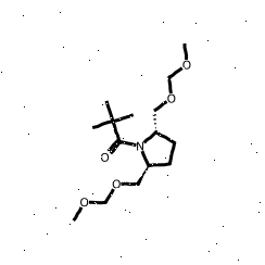 COCOC[C@@H]1CC[C@@H](COCOC)N1C(=O)C(C)(C)C